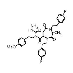 COc1ccc(CCN(C(=O)NN)C(=O)C2CC(=O)N(CCc3ccc(F)cc3)C(C)C(=O)N2CCc2ccc(F)cc2)cc1